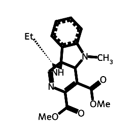 CC[C@@H]1CC23C(=NC(C(=O)OC)=C(C(=O)OC)C2N(C)c2ccccc23)N1